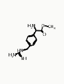 COC(=O)C(N)c1ccc(CNC(=N)N)cc1